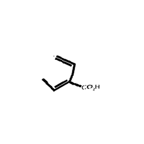 [CH]=CC(=CC)C(=O)O